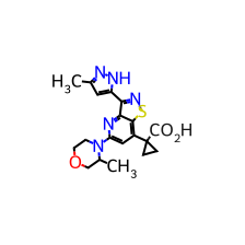 Cc1cc(-c2nsc3c(C4(C(=O)O)CC4)cc(N4CCOCC4C)nc23)[nH]n1